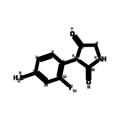 Bc1ccc(N2C(=O)CNC2=O)c(F)c1